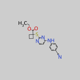 CCOC(=O)C1(Sc2nccc(Nc3ccc(C#N)cc3)n2)CCC1